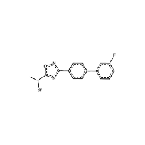 CC(Br)c1nc(-c2ccc(-c3cccc(F)c3)cc2)no1